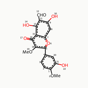 COc1ccc(-c2oc3cc(O)c(C=O)c(O)c3c(=O)c2OC)cc1O